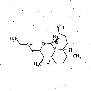 CCNC[C@H]1O[C@@H]2O[C@@]3(C)CC[C@H]4[C@H](C)CC[C@@H]([C@H]1C)[C@@]24OO3